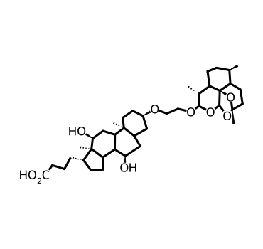 C[C@H]1C(OCCO[C@@H]2CC[C@@]3(C)C(C2)C[C@@H](O)C2C3C[C@H](O)[C@@]3(C)C2CC[C@@H]3CCCC(=O)O)OC2O[C@@]3(C)CCC4[C@H](C)CCC1[C@@]24O3